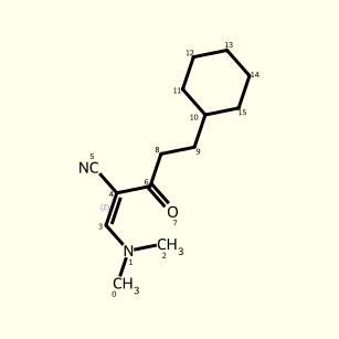 CN(C)/C=C(/C#N)C(=O)CCC1CCCCC1